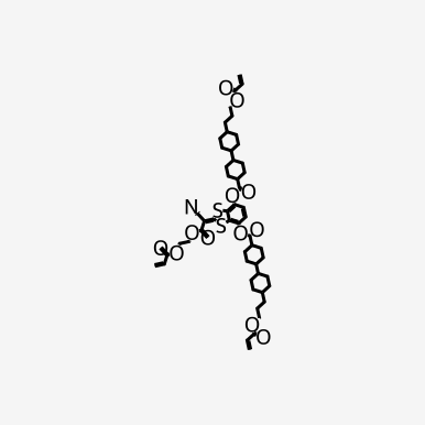 C=CC(=O)OCCCC1CCC(C2CCC(C(=O)Oc3ccc(OC(=O)C4CCC(C5CCC(CCCOC(=O)C=C)CC5)CC4)c4c3SC(=C(C#N)C(=O)OCCOC(=O)C=C)S4)CC2)CC1